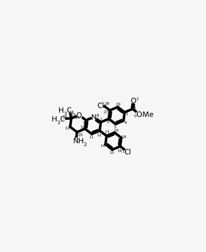 COC(=O)c1ccc(-c2nc3c(cc2-c2ccc(Cl)cc2)C(N)CC(C)(C)O3)c(Cl)c1